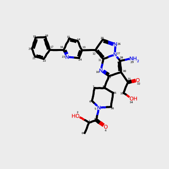 CC(O)C(=O)N1CCC(c2nc3c(-c4ccc(-c5ccccc5)nc4)cnn3c(N)c2C(=O)CO)CC1